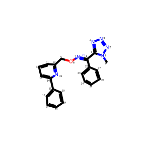 Cn1nnnc1/C(=N/OCc1cccc(-c2ccccc2)n1)c1ccccc1